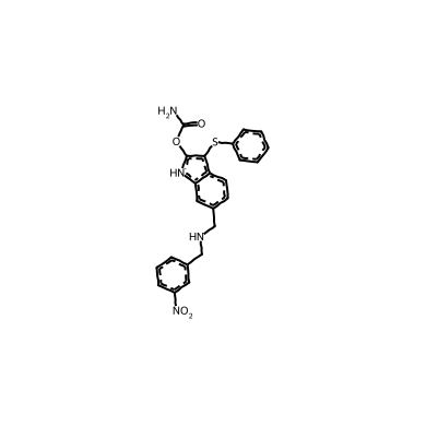 NC(=O)Oc1[nH]c2cc(CNCc3cccc([N+](=O)[O-])c3)ccc2c1Sc1ccccc1